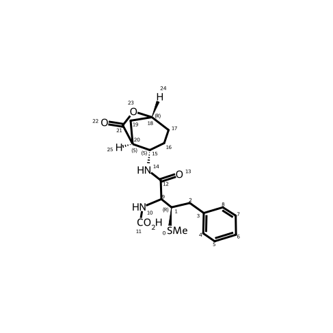 CS[C@H](Cc1ccccc1)C(NC(=O)O)C(=O)N[C@H]1CC[C@@H]2C[C@@H]1C(=O)O2